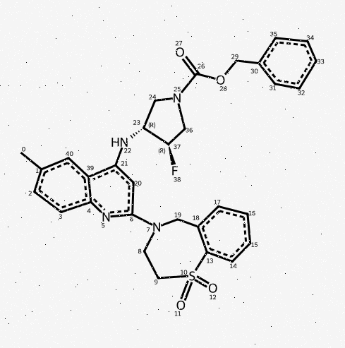 Cc1ccc2nc(N3CCS(=O)(=O)c4ccccc4C3)cc(N[C@@H]3CN(C(=O)OCc4ccccc4)C[C@H]3F)c2c1